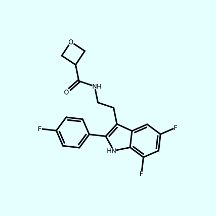 O=C(NCCc1c(-c2ccc(F)cc2)[nH]c2c(F)cc(F)cc12)C1COC1